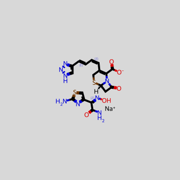 NC(=O)/C(=N\O)c1csc(N)n1.O=C([O-])C1=C(/C=C\C=C\c2c[nH]nn2)CS[C@H]2CC(=O)N12.[Na+]